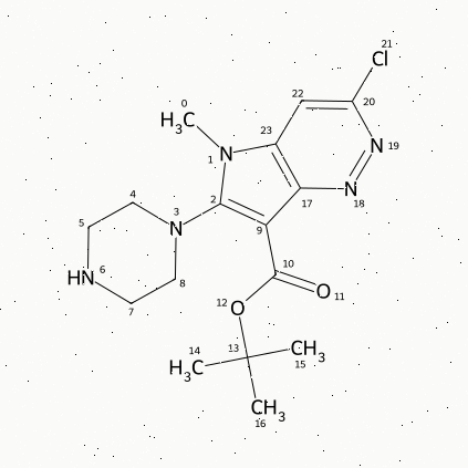 Cn1c(N2CCNCC2)c(C(=O)OC(C)(C)C)c2nnc(Cl)cc21